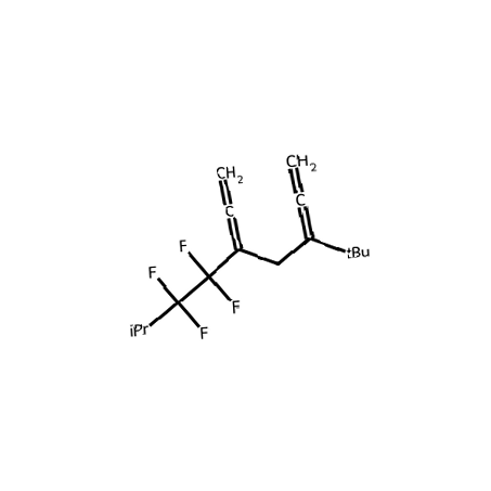 C=C=C(CC(=C=C)C(F)(F)C(F)(F)C(C)C)C(C)(C)C